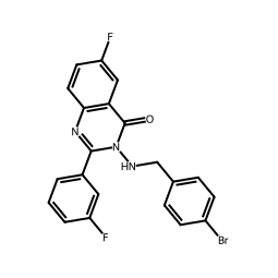 O=c1c2cc(F)ccc2nc(-c2cccc(F)c2)n1NCc1ccc(Br)cc1